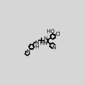 CC(C)(CNCc1ccc(N2CCCC2)cc1)c1nc(-c2ccc(Cl)c(O)c2)c(-c2ccncc2)[nH]1